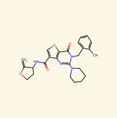 C=C1OCCC1NC(=O)c1csc2c(=O)n(Cc3ccccc3C#N)c(N3CCCCC3)nc12